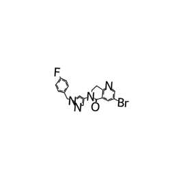 O=C1c2cc(Br)cnc2CCN1c1cnn(Cc2ccc(F)cc2)c1